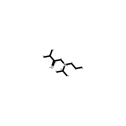 CCCN(CC(=O)C(C)C)C(C)C